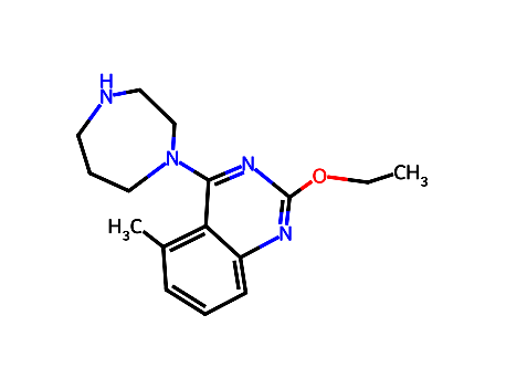 CCOc1nc(N2CCCNCC2)c2c(C)cccc2n1